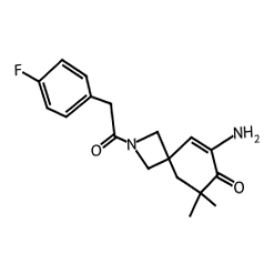 CC1(C)CC2(C=C(N)C1=O)CN(C(=O)Cc1ccc(F)cc1)C2